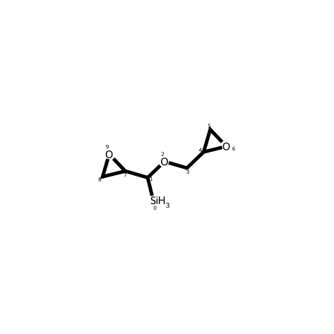 [SiH3]C(OCC1CO1)C1CO1